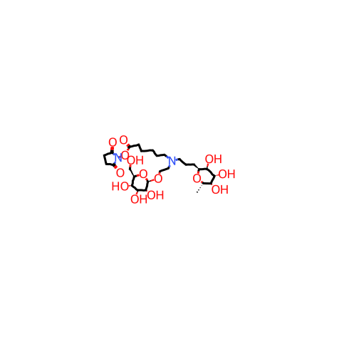 C[C@@H]1O[C@@H](CCCN(CCCCCC(=O)ON2C(=O)CCC2=O)CCO[C@@H]2O[C@H](CO)[C@@H](O)[C@H](O)[C@H]2O)[C@@H](O)[C@H](O)[C@@H]1O